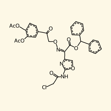 CC(=O)Oc1ccc(C(=O)CO/N=C(\C(=O)OC(c2ccccc2)c2ccccc2)c2coc(NC(=O)CCl)n2)cc1OC(C)=O